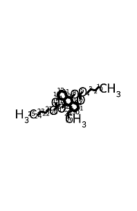 CCCCCOC(=O)Oc1c2ccccc2c(OC(=O)OCCCCC)c2c(CC)cccc12